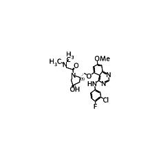 COc1cc(OC[C@@H]2C[C@@H](O)CN2C(=O)CN(C)C)c2c(Nc3ccc(F)c(Cl)c3)ncnc2c1